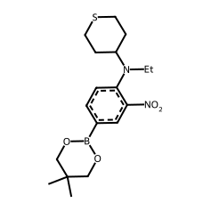 CCN(c1ccc(B2OCC(C)(C)CO2)cc1[N+](=O)[O-])C1CCSCC1